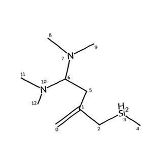 C=C(C[SiH2]C)CC(N(C)C)N(C)C